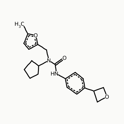 Cc1ccc(CN(C(=O)Nc2ccc(C3COC3)cc2)C2CCCC2)o1